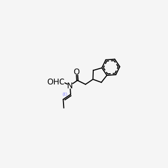 C/C=C/N(C=O)C(=O)CC1Cc2ccccc2C1